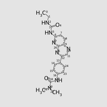 CCNC(=O)Nc1ccc2ncc(-c3ccc(NC(=O)N(C)C)cc3)nc2n1